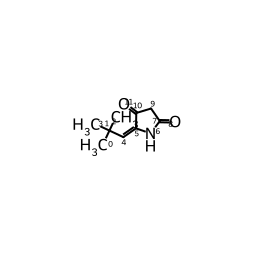 CC(C)(C)/C=C1/NC(=O)CC1=O